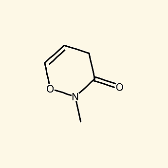 CN1OC=CCC1=O